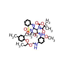 CCC(OCNc1ccc(OC)c(NC(=O)C(C2=Nc3ccccc3S(=O)(=O)N2C)N2C(=O)OC(C)(C)C2=O)c1)Oc1ccc(C)cc1C